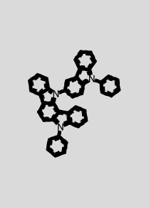 c1ccc(-n2c3ccccc3c3cc(-n4c5ccccc5c5ccc6c(c7ccccc7n6-c6ccccc6)c54)ccc32)cc1